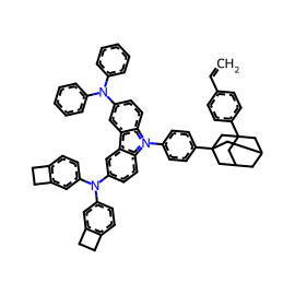 C=Cc1ccc(C23CC4CC(C2)CC(c2ccc(-n5c6ccc(N(c7ccccc7)c7ccccc7)cc6c6cc(N(c7ccc8c(c7)CC8)c7ccc8c(c7)CC8)ccc65)cc2)(C4)C3)cc1